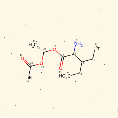 CC(C)CC(CC(=O)O)C(N)C(=O)O[C@@H](C)OC(=O)C(C)C